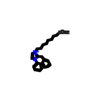 CCCCCCCCCCCCCCCCCC[n+]1ccn(-c2ccccc2)c1Cc1ccccc1